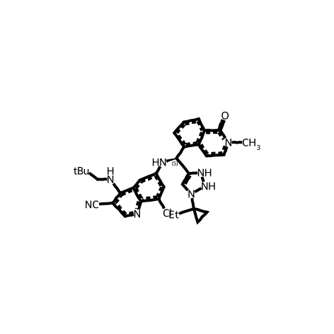 CCC1(N2C=C([C@@H](Nc3cc(Cl)c4ncc(C#N)c(NCC(C)(C)C)c4c3)c3cccc4c(=O)n(C)ccc34)NN2)CC1